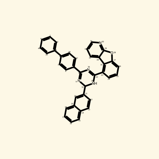 c1ccc(-c2ccc(C3=NC(c4ccc5ccccc5c4)NC(c4cccc5oc6ncccc6c45)=N3)cc2)cc1